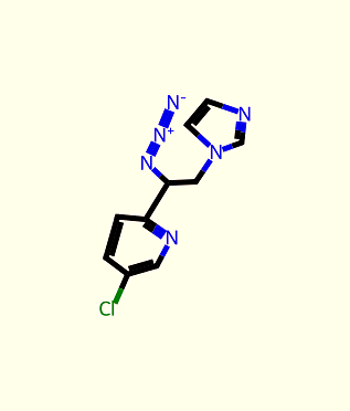 [N-]=[N+]=NC(Cn1ccnc1)c1ccc(Cl)cn1